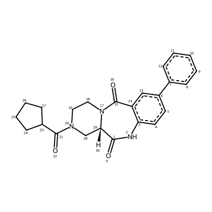 O=C1Nc2ccc(-c3ccccc3)cc2C(=O)N2CCN(C(=O)C3CCCC3)C[C@@H]12